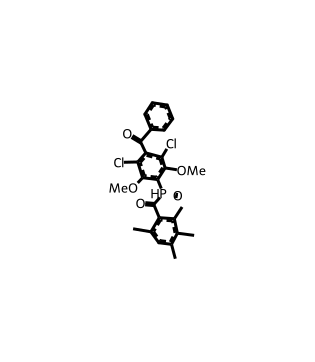 COc1c(Cl)c(C(=O)c2ccccc2)c(Cl)c(OC)c1[PH](=O)C(=O)c1c(C)cc(C)c(C)c1C